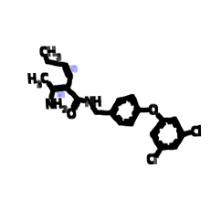 CC/C=C\C(C(=O)NCc1ccc(Oc2cc(Cl)cc(Cl)c2)cc1)=C(/C)N